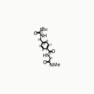 CNC(=O)CNC(=O)c1ccc(CNC(=O)C(C)(C)C)cc1